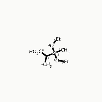 CCO[Si](C)(OCC)C(C)C(=O)O